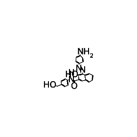 Nc1ccc(N=Nc2c(O)c(C(=O)Nc3ccc(CO)cc3)cc3ccccc23)cc1